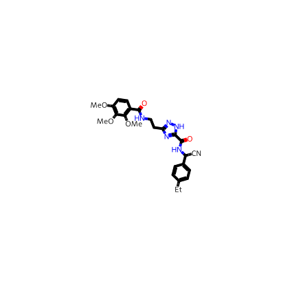 CCc1ccc(C(C#N)NC(=O)c2nc(CCNC(=O)c3ccc(OC)c(OC)c3OC)n[nH]2)cc1